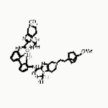 [2H]C([2H])([2H])n1c(C(=O)Nc2cccc(-c3cccc(NC(=O)c4nc5c(n4C([2H])([2H])[2H])CCN(CCC46CCC(COC)(CC4)C6)C5)c3Cl)c2C)nc2c1CCN(C(=O)O)C2